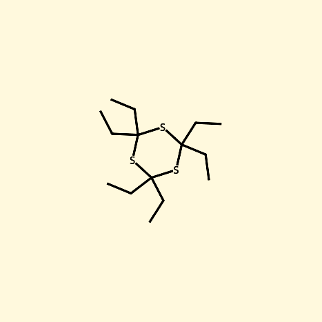 CCC1(CC)SC(CC)(CC)SC(CC)(CC)S1